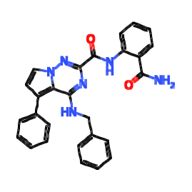 NC(=O)c1ccccc1NC(=O)c1nc(NCc2ccccc2)c2c(-c3ccccc3)ccn2n1